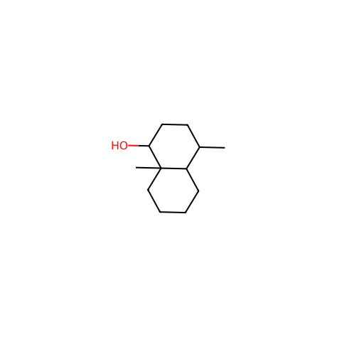 CC1CCC(O)C2(C)CCCCC12